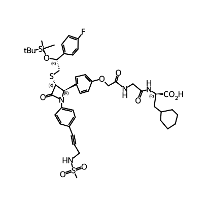 CC(C)(C)[Si](C)(C)O[C@@H](CS[C@H]1C(=O)N(c2ccc(C#CCNS(C)(=O)=O)cc2)[C@@H]1c1ccc(OCC(=O)NCC(=O)N[C@H](CC2CCCCC2)C(=O)O)cc1)c1ccc(F)cc1